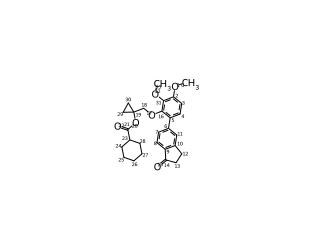 COc1ccc(-c2ccc3c(c2)CCC3=O)c(OCC2(OC(=O)C3CCCCC3)CC2)c1OC